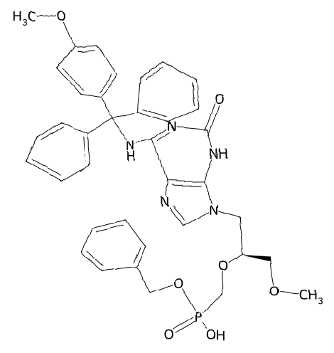 COC[C@H](Cn1cnc2c(NC(c3ccccc3)(c3ccccc3)c3ccc(OC)cc3)nc(=O)[nH]c21)OCP(=O)(O)OCc1ccccc1